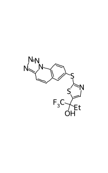 CCC(O)(c1cnc(Sc2ccc3c(ccc4nnnn43)c2)s1)C(F)(F)F